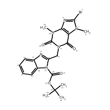 Cn1c(Br)nc2c1c(=O)n(Cc1nc3ccccc3n1C(=O)OC(C)(C)C)c(=O)n2C